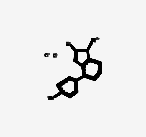 CCC1=Cc2c(-c3ccc(C(C)(C)C)cc3)cccc2[CH]1[Hf+2].[Cl-].[Cl-]